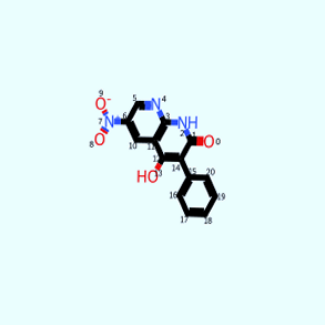 O=c1[nH]c2ncc([N+](=O)[O-])cc2c(O)c1-c1ccccc1